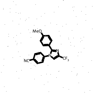 COc1ccc(-c2nc(C(F)(F)F)cn2-c2ccc(C#N)cc2)cc1